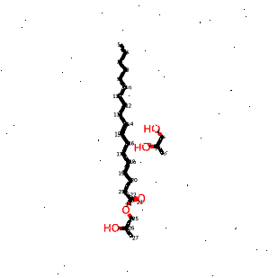 CC(O)CO.CCCCCCCCCCCCCCCCCC(=O)OCC(C)O